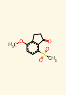 COc1ccc(S(C)(=O)=O)c2c1CCC2=O